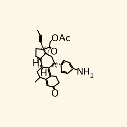 CC#C[C@]1(C(=O)COC(C)=O)CC[C@H]2[C@@H]3CC(C)C4=CC(=O)CCC4=C3[C@@H](c3ccc(N)cc3)C[C@@]21C